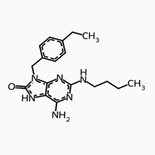 CCCCNc1nc(N)c2[nH]c(=O)n(Cc3ccc(CC)cc3)c2n1